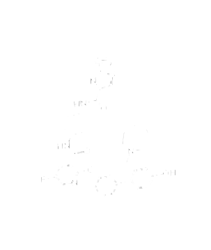 Cc1nc(C(=O)N[C@H]2CC[C@H](NC(=O)c3cc(F)cnc3Oc3cccc(-c4ccc(O)cc4CN4CCCCCC4)c3)CC2)cs1